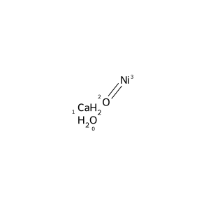 O.[CaH2].[O]=[Ni]